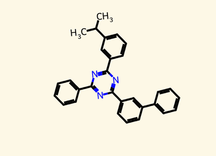 CC(C)c1cccc(-c2nc(-c3ccccc3)nc(-c3cccc(-c4ccccc4)c3)n2)c1